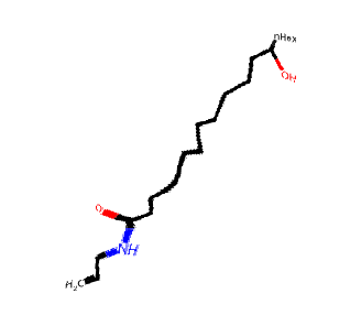 C=CCNC(=O)CCCCCCCCCCC(O)CCCCCC